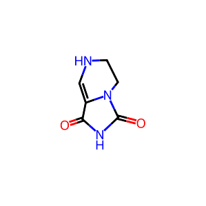 O=C1NC(=O)N2CCNC=C12